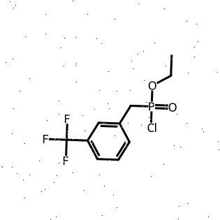 CCOP(=O)(Cl)Cc1cccc(C(F)(F)F)c1